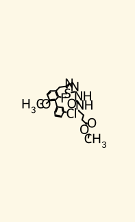 CCOC(=O)CCCNC(=O)Nc1nnc(Cc2ccc(OC)c(-c3cccc(Cl)c3)c2F)s1